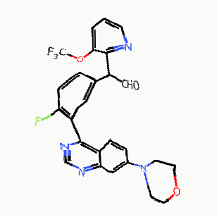 O=CC(c1ccc(F)c(-c2ncnc3cc(N4CCOCC4)ccc23)c1)c1ncccc1OC(F)(F)F